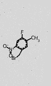 Cc1cc(CBr)c([N+](=O)[O-])cc1F